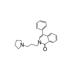 O=c1c2ccccc2c(-c2ccccc2)cn1CCCN1CCCC1